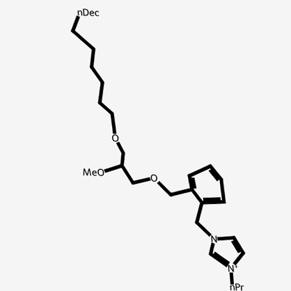 CCCCCCCCCCCCCCCCOCC(COCc1ccccc1Cn1cc[n+](CCC)c1)OC